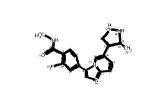 CNC(=O)c1ccc(-c2cnc3ccc(C4CNN[C@H]4C)cn23)cc1F